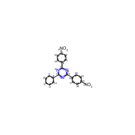 O=[N+]([O-])c1ccc(-c2nc(-c3ccccc3)nc(-c3ccc([N+](=O)[O-])cc3)n2)cc1